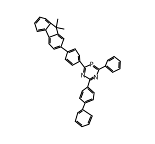 CC1(C)c2ccccc2-c2ccc(-c3ccc(-c4nc(-c5ccc(-c6ccccc6)cc5)nc(-c5ccccc5)p4)cc3)cc21